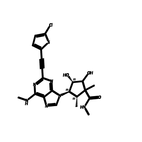 CNC(=O)C1(C)C(O)[C@@H](O)[C@H](n2cnc3c(NC)nc(C#Cc4ccc(Cl)s4)nc32)[C@H]1C